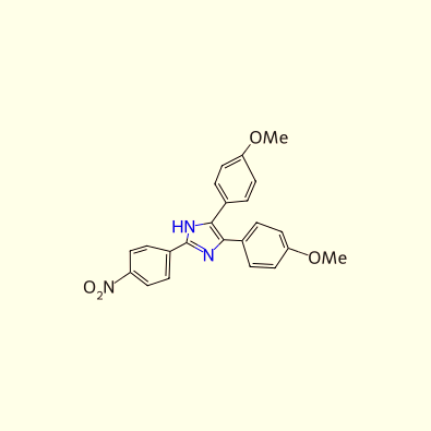 COc1ccc(-c2nc(-c3ccc([N+](=O)[O-])cc3)[nH]c2-c2ccc(OC)cc2)cc1